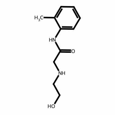 Cc1ccccc1NC(=O)CNCCO